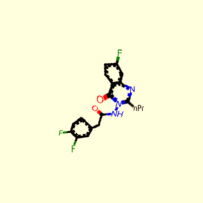 CCCc1nc2cc(F)ccc2c(=O)n1NC(=O)Cc1ccc(F)c(F)c1